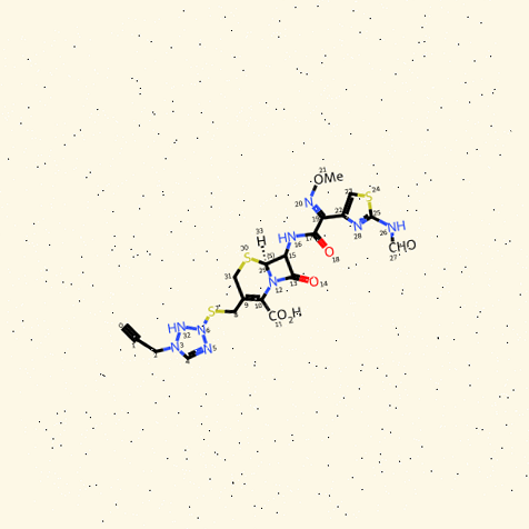 C#CCN1C=NN(SCC2=C(C(=O)O)N3C(=O)C(NC(=O)C(=NOC)c4csc(NC=O)n4)[C@@H]3SC2)N1